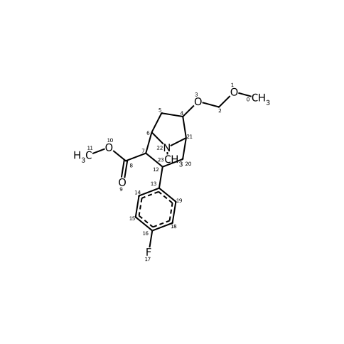 COCOC1CC2C(C(=O)OC)C(c3ccc(F)cc3)CC1N2C